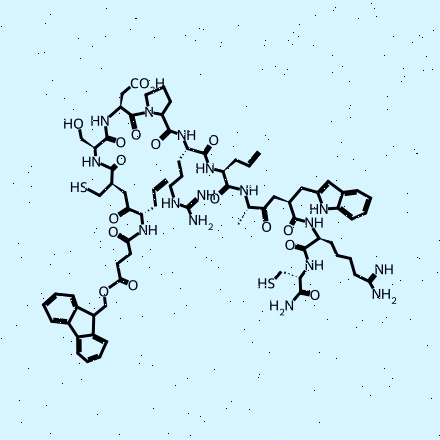 C=CC[C@H](NC(=O)CCC(=O)OCC1c2ccccc2-c2ccccc21)C(=O)C[C@@H](CS)C(=O)N[C@@H](CO)C(=O)N[C@@H](CC(=O)O)C(=O)N1CCCC1C(=O)N[C@@H](CCCNC(=N)N)C(=O)N[C@@H](CC=C)C(=O)N[C@@H](C)C(=O)C[C@@H](Cc1cc2ccccc2[nH]1)C(=O)N[C@@H](CCCCC(=N)N)C(=O)N[C@@H](CS)C(N)=O